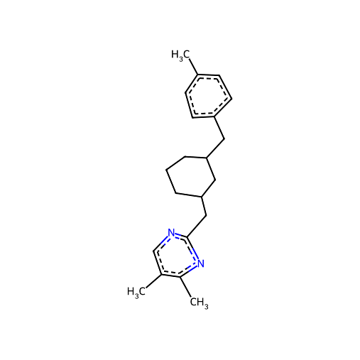 Cc1ccc(CC2CCCC(Cc3ncc(C)c(C)n3)C2)cc1